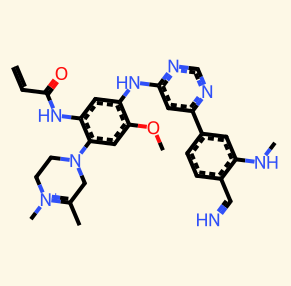 C=CC(=O)Nc1cc(Nc2cc(-c3ccc(C=N)c(NC)c3)ncn2)c(OC)cc1N1CC[N+](C)=C(C)C1